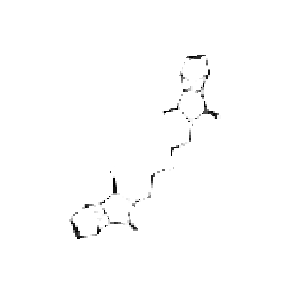 O=C1C2C3C=CC(O3)C2C(=O)N1CCOCCN1C(=O)C2C3C=CC(O3)C2C1=O